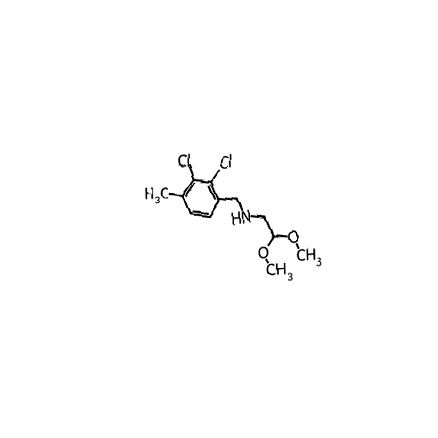 COC(CNCc1ccc(C)c(Cl)c1Cl)OC